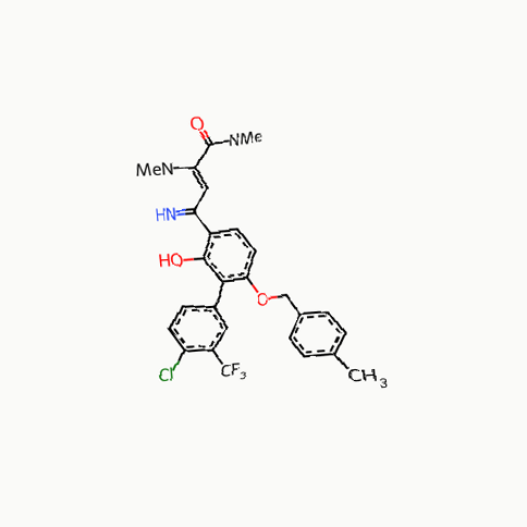 CNC(=O)/C(=C/C(=N)c1ccc(OCc2ccc(C)cc2)c(-c2ccc(Cl)c(C(F)(F)F)c2)c1O)NC